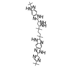 CC(C)(C)c1cnc(-c2nc3cc4[nH]c(C(C)(C)CCC(C)(C)C5CC(c6nc7cc8[nH]c(C(C)(C)C)nc8cc7[nH]6)NN5)nc4cc3[nH]2)cn1